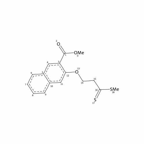 COC(=O)c1cc2ccccc2cc1OCCC(=S)SC